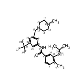 Cc1ccc(C(=O)Nc2cc(CN3CCN(C)CC3)cc(C(F)(F)F)c2)cc1NC(C)C